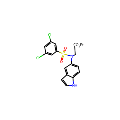 CCOC(=O)CN(c1ccc2[nH]ccc2c1)S(=O)(=O)c1cc(Cl)cc(Cl)c1